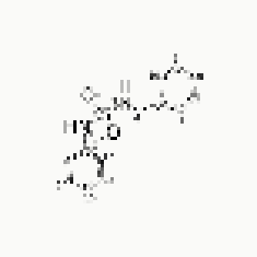 O=S(=O)(NCc1ccccc1)Nc1ccccc1